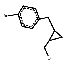 OCC1CC1Cc1ccc(Br)cc1